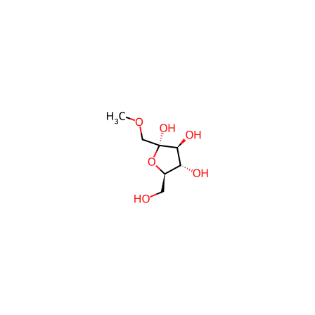 COC[C@]1(O)O[C@H](CO)[C@@H](O)[C@@H]1O